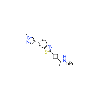 CCCNC(C)C1CC(c2nc3ccc(-c4cnn(C)c4)cc3s2)C1